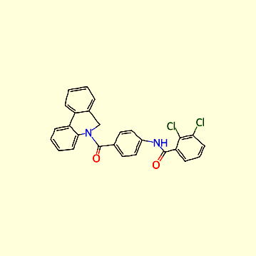 O=C(Nc1ccc(C(=O)N2Cc3ccccc3-c3ccccc32)cc1)c1cccc(Cl)c1Cl